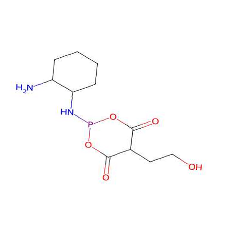 NC1CCCCC1NP1OC(=O)C(CCO)C(=O)O1